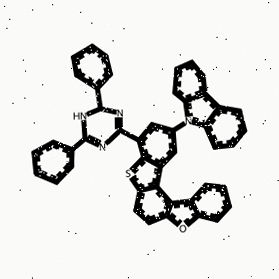 c1ccc(C2=NC(c3cc(-n4c5ccccc5c5ccccc54)cc4c3sc3ccc5oc6ccccc6c5c34)=NC(c3ccccc3)N2)cc1